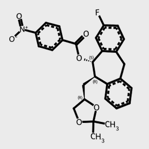 CC1(C)OC[C@@H](C[C@@H]2c3ccccc3Cc3ccc(F)cc3[C@H]2OC(=O)c2ccc([N+](=O)[O-])cc2)O1